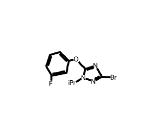 CC(C)n1nc(Br)nc1Oc1cccc(F)c1